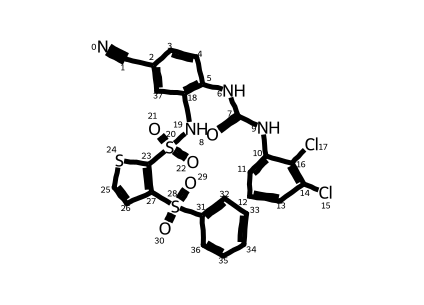 N#Cc1ccc(NC(=O)Nc2cccc(Cl)c2Cl)c(NS(=O)(=O)c2sccc2S(=O)(=O)c2ccccc2)c1